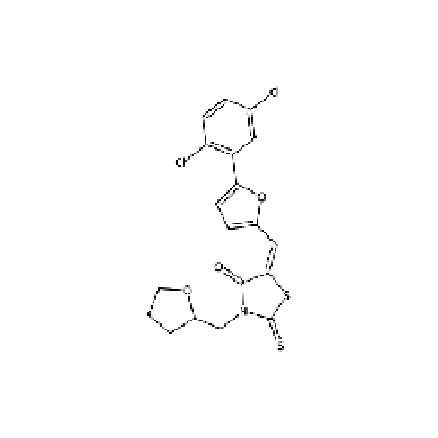 O=C1/C(=C\c2ccc(-c3cc(Cl)ccc3Cl)o2)SC(=S)N1CC1CCCO1